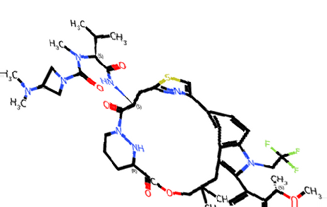 CO[C@@H](C)c1ncccc1-c1c2c3cc(ccc3n1CC(F)(F)F)-c1csc(n1)C[C@H](NC(=O)[C@H](C(C)C)N(C)C(=O)N1CC(N(C)C)C1)C(=O)N1CCC[C@](C=O)(COCC(C)(C)C2)N1